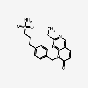 CSc1ncc2ccc(=O)n(Cc3ccc(CCCS(N)(=O)=O)cc3)c2n1